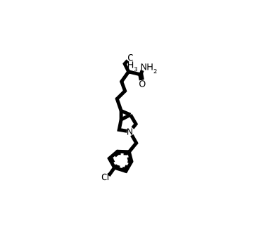 CCC(CCCC1C2CN(Cc3ccc(Cl)cc3)CC12)C(N)=O